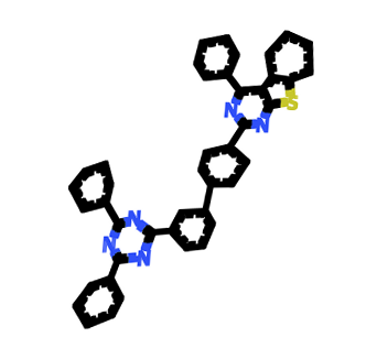 c1ccc(-c2nc(-c3ccccc3)nc(-c3cccc(-c4ccc(-c5nc(-c6ccccc6)c6c(n5)sc5ccccc56)cc4)c3)n2)cc1